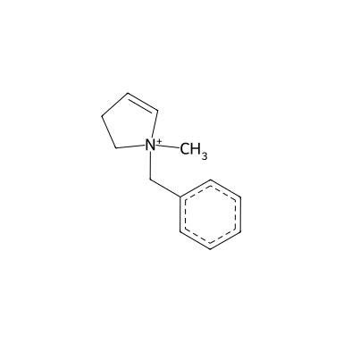 C[N+]1(Cc2ccccc2)C=CCC1